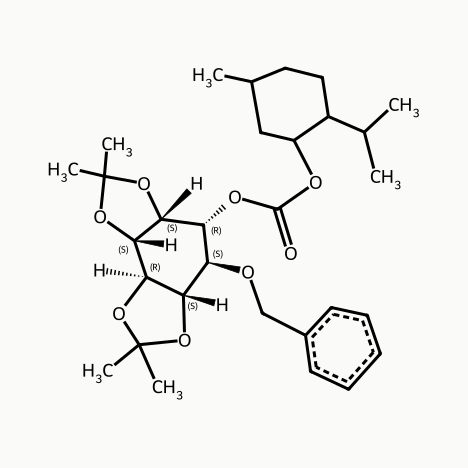 CC1CCC(C(C)C)C(OC(=O)O[C@@H]2[C@@H](OCc3ccccc3)[C@@H]3OC(C)(C)O[C@H]3[C@@H]3OC(C)(C)O[C@H]23)C1